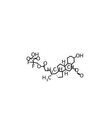 C[C@H](CCC(=O)OCC(F)(F)S(=O)(=O)O)[C@H]1CC[C@H]2[C@@H]3C[C@H](OC=O)C4C[C@H](O)CC[C@]4(C)[C@H]3CC[C@]12C